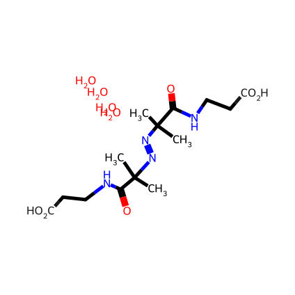 CC(C)(N=NC(C)(C)C(=O)NCCC(=O)O)C(=O)NCCC(=O)O.O.O.O.O